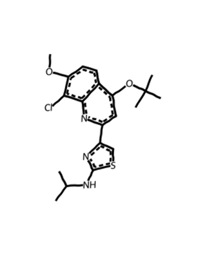 COc1ccc2c(OC(C)(C)C)cc(-c3csc(NC(C)C)n3)nc2c1Cl